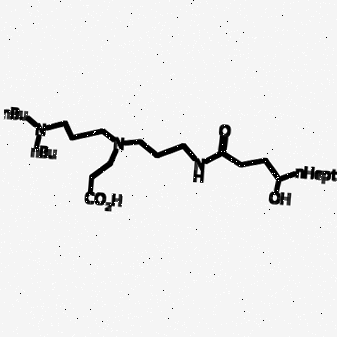 CCCCCCCC(O)CCC(=O)NCCCN(CCCN(CCCC)CCCC)CCC(=O)O